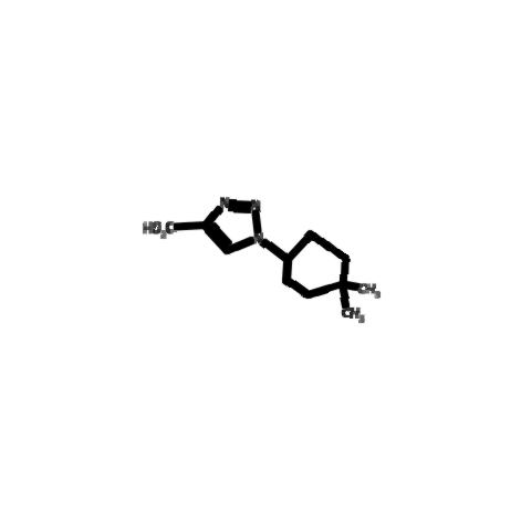 CC1(C)CCC(n2cc(C(=O)O)nn2)CC1